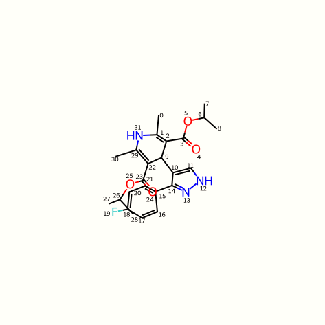 CC1=C(C(=O)OC(C)C)C(c2c[nH]nc2-c2ccc(F)cc2)C(C(=O)OC(C)C)=C(C)N1